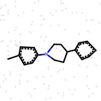 Cc1ccc(N2CCC(c3ccccc3)CC2)cc1